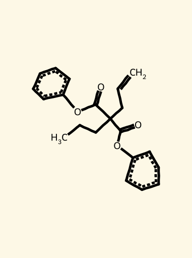 C=CCC(CCC)(C(=O)Oc1ccccc1)C(=O)Oc1ccccc1